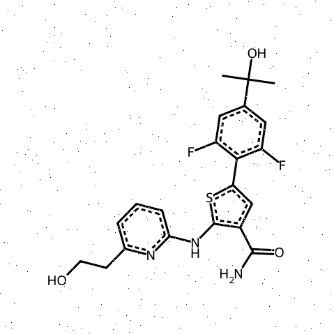 CC(C)(O)c1cc(F)c(-c2cc(C(N)=O)c(Nc3cccc(CCO)n3)s2)c(F)c1